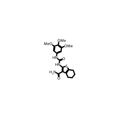 COc1cc(NC(=O)Nc2sc3c(c2C(N)=O)CCCC3)cc(OC)c1OC